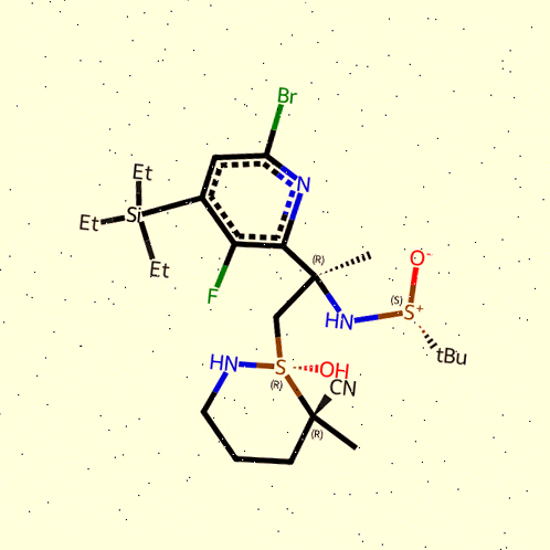 CC[Si](CC)(CC)c1cc(Br)nc([C@](C)(C[S@]2(O)NCCC[C@]2(C)C#N)N[S@+]([O-])C(C)(C)C)c1F